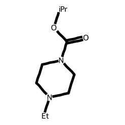 [CH2]CN1CCN(C(=O)OC(C)C)CC1